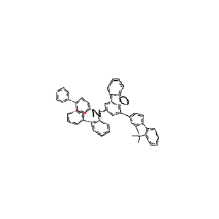 CC1(C)c2ccccc2-c2ccc(-c3cc(N(c4ccc(-c5ccccc5)cc4)c4ccccc4-c4ccccc4)cc4c3oc3ccccc34)cc21